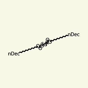 CCCCCCCCCCCCCCCCCCCCCCOC(=O)C[S][Sn][S]C(C)(C)C(=O)OCCCCCCCCCCCCCCCCCCCCCC